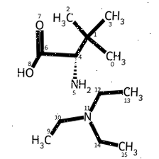 CC(C)(C)[C@H](N)C(=O)O.CCN(CC)CC